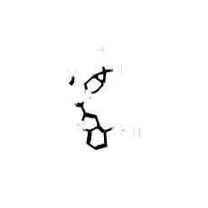 COc1cccc2[nH]c(C(=O)N3C[C@H]4[C@@H]([C@H]3C(=O)O)C4(C)C)cc12